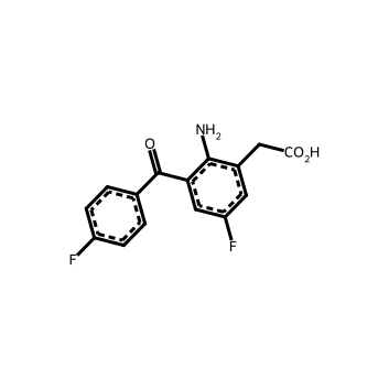 Nc1c(CC(=O)O)cc(F)cc1C(=O)c1ccc(F)cc1